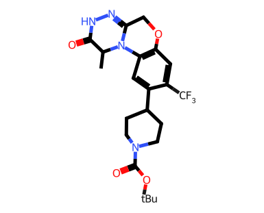 CC1C(=O)NN=C2COc3cc(C(F)(F)F)c(C4CCN(C(=O)OC(C)(C)C)CC4)cc3N21